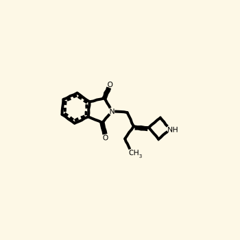 CCC(CN1C(=O)c2ccccc2C1=O)=C1CNC1